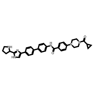 O=C(Nc1ccc(-c2ccc(-c3c[nH]c(C4CCCN4)n3)cc2)cc1)c1ccc(N2CCN(C(=O)C3CC3)CC2)cc1